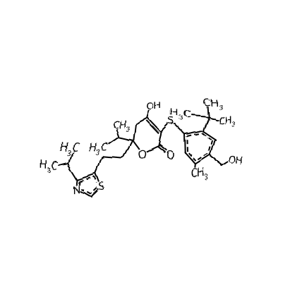 Cc1cc(SC2=C(O)CC(CCc3scnc3C(C)C)(C(C)C)OC2=O)c(C(C)(C)C)cc1CO